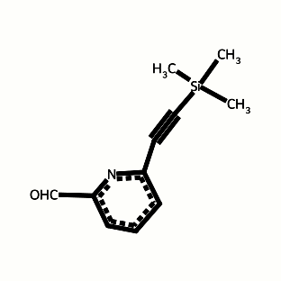 C[Si](C)(C)C#Cc1cccc(C=O)n1